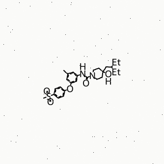 CCC(CC)CC1(O)CCN(C(=O)Nc2cc(C)cc(Oc3ccc(S(C)(=O)=O)cc3)c2)CC1